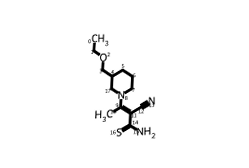 CCOCC1CCCN(/C(C)=C(\C#N)C(N)=S)C1